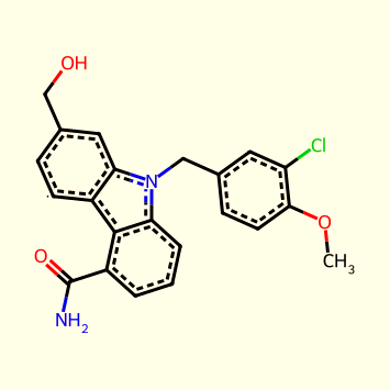 COc1ccc(Cn2c3cc(CO)c[c]c3c3c(C(N)=O)cccc32)cc1Cl